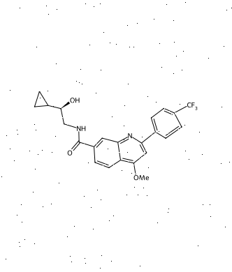 COc1cc(-c2ccc(C(F)(F)F)cc2)nc2cc(C(=O)NC[C@H](O)C3CC3)ccc12